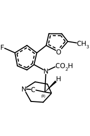 Cc1ccc(-c2cc(F)ccc2N(C(=O)O)[C@H]2CN3CCC2CC3)o1